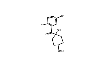 COC1CCC(O)(C(=O)c2cc(Br)ccc2F)CC1